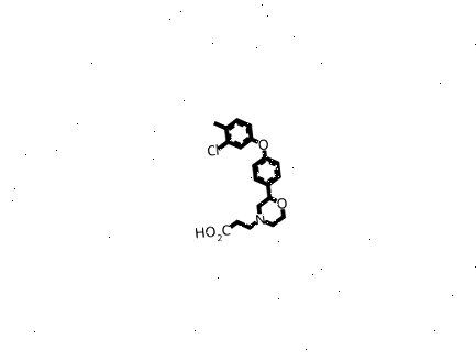 Cc1ccc(Oc2ccc(C3CN(CCC(=O)O)CCO3)cc2)cc1Cl